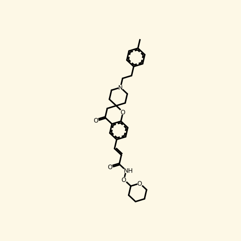 Cc1ccc(CCN2CCC3(CC2)CC(=O)c2cc(/C=C/C(=O)NOC4CCCCO4)ccc2O3)cc1